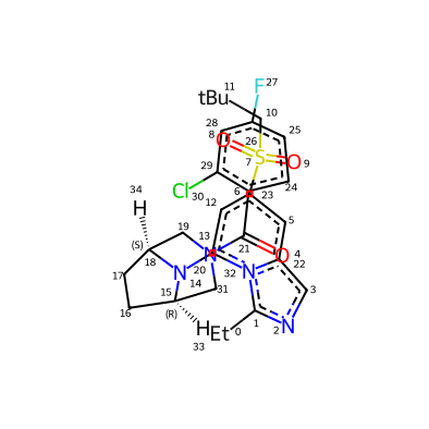 CCc1ncc2cc(S(=O)(=O)CC(C)(C)C)cc(N3[C@@H]4CC[C@H]3CN(C(=O)c3ccc(F)cc3Cl)C4)n12